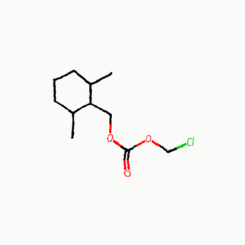 CC1CCCC(C)C1COC(=O)OCCl